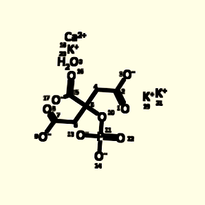 O.O=C([O-])CC(CC(=O)[O-])(OP(=O)([O-])[O-])C(=O)[O-].[Ca+2].[K+].[K+].[K+]